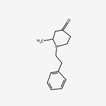 CC1CC(=O)CCN1CCc1ccccc1